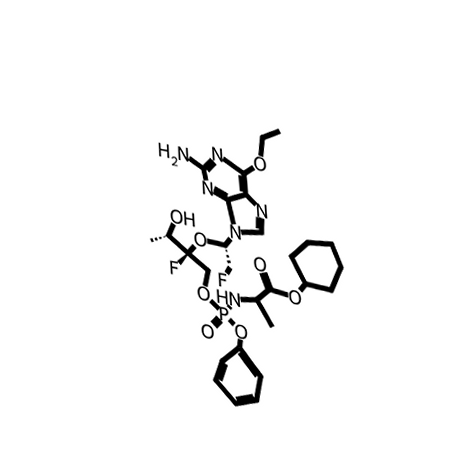 CCOc1nc(N)nc2c1ncn2[C@H](CF)O[C@](F)(COP(=O)(NC(C)C(=O)OC1CCCCC1)Oc1ccccc1)[C@H](C)O